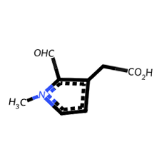 Cn1ccc(CC(=O)O)c1C=O